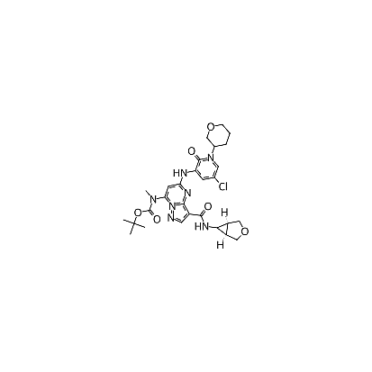 CN(C(=O)OC(C)(C)C)c1cc(Nc2cc(Cl)cn(C3CCCOC3)c2=O)nc2c(C(=O)NC3[C@H]4COC[C@@H]34)cnn12